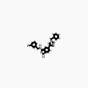 Fc1cccc(CNc2n[nH]c3ccc(-c4cn(Cc5ccccc5)nn4)cc23)c1